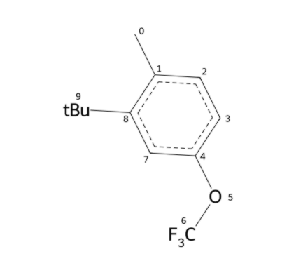 Cc1ccc(OC(F)(F)F)cc1C(C)(C)C